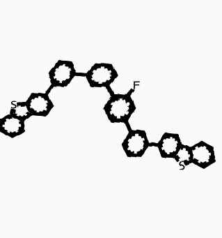 Fc1cc(-c2cccc(-c3ccc4c(c3)sc3ccccc34)c2)ccc1-c1cccc(-c2cccc(-c3ccc4c(c3)sc3ccccc34)c2)c1